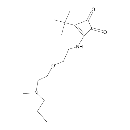 CCCN(C)CCOCCNc1c(C(C)(C)C)c(=O)c1=O